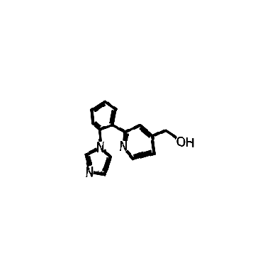 OCc1ccnc(-c2ccccc2-n2ccnc2)c1